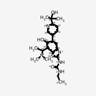 CCNC(=O)Nc1nc2cc(-c3ccc(C(C)(C)O)nc3)c(O)c(C(C)N(C)C)c2s1